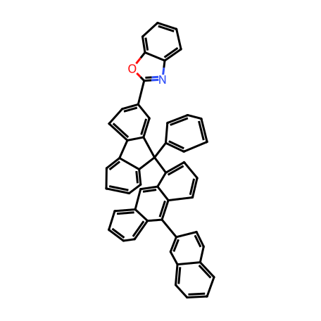 c1ccc(C2(c3cccc4c(-c5ccc6ccccc6c5)c5ccccc5cc34)c3ccccc3-c3ccc(-c4nc5ccccc5o4)cc32)cc1